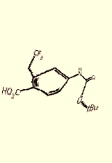 CC(C)(C)OC(=O)Nc1ccc(C(=O)O)c(CC(F)(F)F)c1